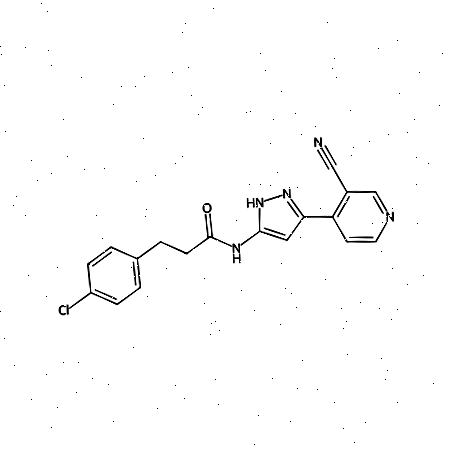 N#Cc1cnccc1-c1cc(NC(=O)CCc2ccc(Cl)cc2)[nH]n1